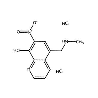 CNCc1cc([N+](=O)[O-])c(O)c2ncccc12.Cl.Cl